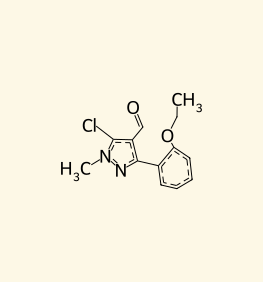 CCOc1ccccc1-c1nn(C)c(Cl)c1C=O